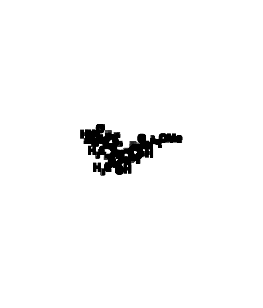 COCCNC(=O)c1ccc(Nc2nc(-c3cccc(N4CCNC4=O)c3C)cn(C)c2=O)cc1